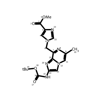 COC(=O)c1cn(Cc2nc(C)cn3cc(NC(=O)OC(C)(C)C)nc23)cn1